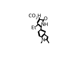 CCc1cc(C(=O)O)c(=O)[nH]c1-c1ccc2c(c1)cc(C)n2C